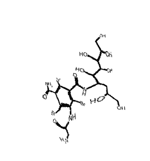 NCC(=O)Nc1c(Br)c(C(N)=O)c(Br)c(C(=O)NC(CC(O)CO)C(O)C(O)C(O)C(O)CO)c1Br